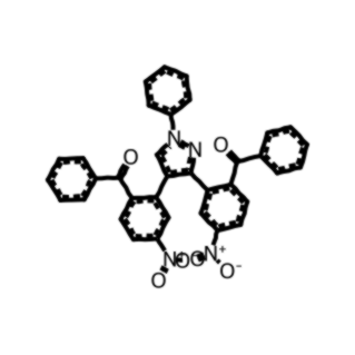 O=C(c1ccccc1)c1ccc([N+](=O)[O-])cc1-c1cn(-c2ccccc2)nc1-c1cc([N+](=O)[O-])ccc1C(=O)c1ccccc1